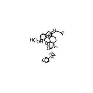 CN(C(=O)[C@@H]1C[C@H]1c1ccoc1)[C@@H]1CC[C@@]2(O)[C@H]3Cc4ccc(O)c5c4[C@@]2(CCN3CC2CC2)[C@@H]1O5.Cl